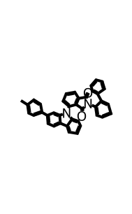 Cc1ccc(-c2ccc3c4ccccc4n(-c4cccc5c4C(=O)N(c4ccccc4-c4ccccc4)C5=O)c3c2)cc1